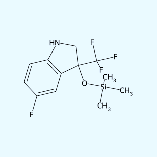 C[Si](C)(C)OC1(C(F)(F)F)CNc2ccc(F)cc21